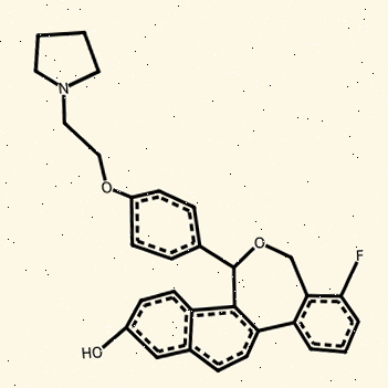 Oc1ccc2c3c(ccc2c1)-c1cccc(F)c1COC3c1ccc(OCCN2CCCC2)cc1